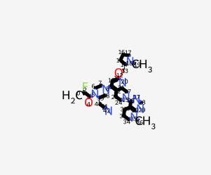 C=C(F)C(=O)N1CCN(c2cc(OC[C@@H]3CCCN3C)nc3c2CCN(c2ncnc4c2CCCN4C)C3)C[C@@H]1CC#N